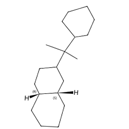 CC(C)(C1CCCCC1)C1CC[C@H]2CCCC[C@H]2C1